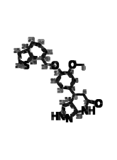 COc1cc(C2CC(=O)Nc3n[nH]cc32)ccc1OCc1cccc2ccsc12